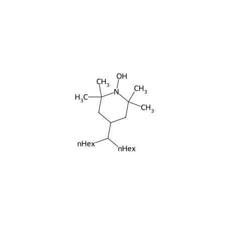 CCCCCCC(CCCCCC)C1CC(C)(C)N(O)C(C)(C)C1